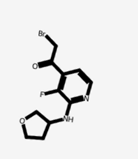 O=C(CBr)c1ccnc(NC2CCOC2)c1F